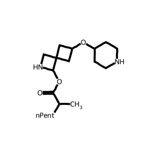 CCCCCC(C)C(=O)OC1NCC12CC(OC1CCNCC1)C2